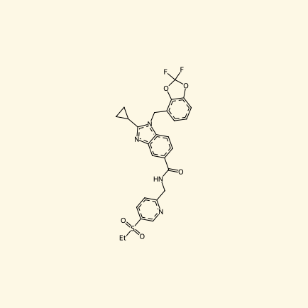 CCS(=O)(=O)c1ccc(CNC(=O)c2ccc3c(c2)nc(C2CC2)n3Cc2cccc3c2OC(F)(F)O3)nc1